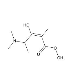 CC(C(=O)OO)=C(O)C(C)N(C)C